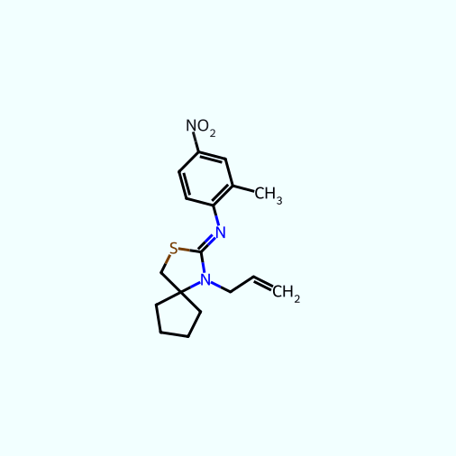 C=CCN1C(=Nc2ccc([N+](=O)[O-])cc2C)SCC12CCCC2